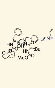 C=C/C=N\C=C\c1ccc(CN(C[C@H](O)[C@H](Cc2ccccc2)NC(=O)OC2C3COC4OCC2C4C3)NC(=O)[C@@H](NC(=O)OC)C(C)(C)C)cc1